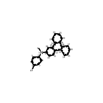 CN(c1ccc(I)cc1)c1ccc2c3ccccc3c3ccccc3c2c1